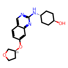 O[C@H]1CC[C@H](Nc2ncc3ccc(O[C@H]4CCOC4)cc3n2)CC1